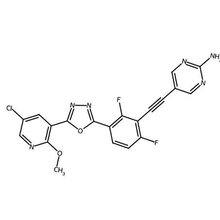 COc1ncc(Cl)cc1-c1nnc(-c2ccc(F)c(C#Cc3cnc(N)nc3)c2F)o1